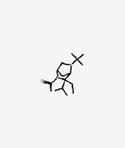 CCC1(C(C)C)C2CC(CN2C(C)(C)C)N1C(C)=O